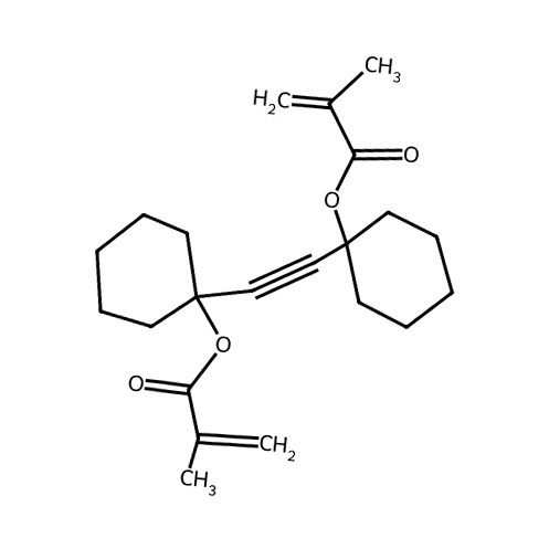 C=C(C)C(=O)OC1(C#CC2(OC(=O)C(=C)C)CCCCC2)CCCCC1